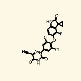 N#Cc1nn(-c2cc(Cl)c(Oc3ccc4c(c3F)C3(CC3)C(=O)N4)c(Cl)c2)c(=O)[nH]c1=O